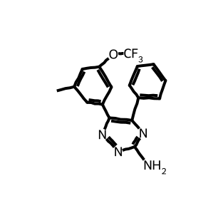 Cc1cc(OC(F)(F)F)cc(-c2nnc(N)nc2-c2ccccc2)c1